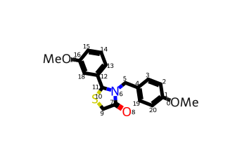 COc1ccc(CN2C(=O)CSC2c2cccc(OC)c2)cc1